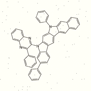 c1ccc(-c2ccc3c4cc5c6cc7ccccc7cc6n(-c6ccccc6)c5cc4n(-c4nc5ccccc5nc4-c4ccccc4)c3c2)cc1